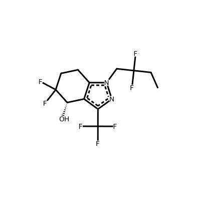 CCC(F)(F)Cn1nc(C(F)(F)F)c2c1CCC(F)(F)[C@H]2O